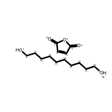 O=C1C=CC(=O)O1.OCCCCCCCCCCO